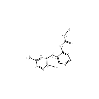 CCNC(=O)Nc1ccccc1Nc1nc(C)ncc1I